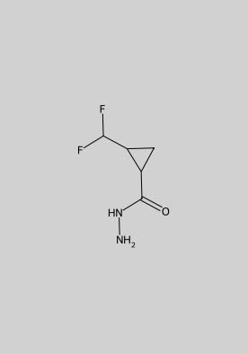 NNC(=O)C1CC1C(F)F